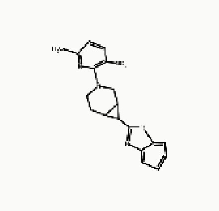 Cc1ccc([N+](=O)[O-])c(N2CCC3C(C2)C3c2nc3ccccc3o2)n1